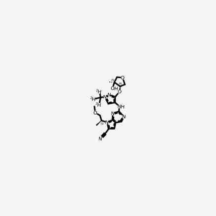 [2H]C([2H])([2H])n1cc(Nc2ncc3cc(C#N)n([C@@H](C)COC)c3n2)c(O[C@@H]2COC[C@]2(C)O)n1